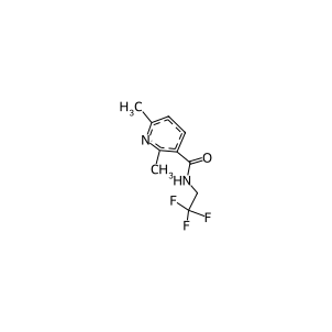 Cc1ccc(C(=O)NCC(F)(F)F)c(C)n1